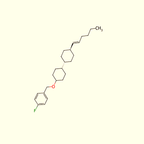 CCCC/C=C/[C@H]1CC[C@H](C2CCC(OCc3ccc(F)cc3)CC2)CC1